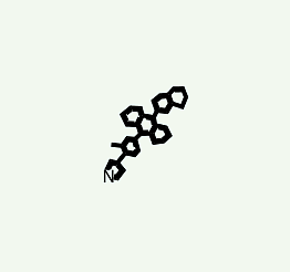 Cc1cc(-c2c3ccccc3c(-c3ccc4c(c3)CCC=C4)c3ccccc23)ccc1-c1ccncc1